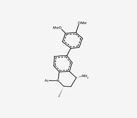 COc1ccc(-c2ccc3c(c2)[C@H](N)C[C@H](C)N3C(C)=O)cc1OC